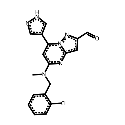 CN(Cc1ccccc1Cl)c1cc(-c2cn[nH]c2)n2nc(C=O)cc2n1